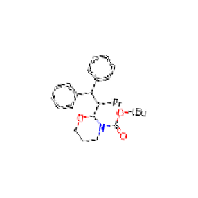 CC(C)C(C(c1ccccc1)c1ccccc1)C1OCCCN1C(=O)OC(C)(C)C